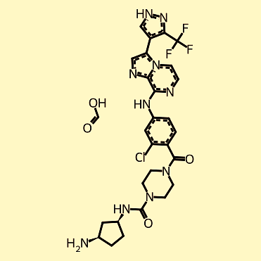 N[C@@H]1CC[C@H](NC(=O)N2CCN(C(=O)c3ccc(Nc4nccn5c(-c6c[nH]nc6C(F)(F)F)cnc45)cc3Cl)CC2)C1.O=CO